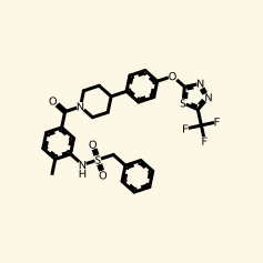 Cc1ccc(C(=O)N2CCC(c3ccc(Oc4nnc(C(F)(F)F)s4)cc3)CC2)cc1NS(=O)(=O)Cc1ccccc1